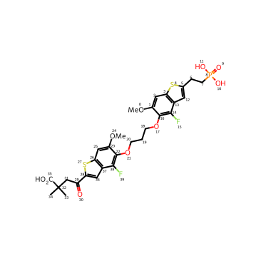 COc1cc2sc(CCP(=O)(O)O)cc2c(F)c1OCCCOc1c(OC)cc2sc(C(=O)CC(C)(C)C(=O)O)cc2c1F